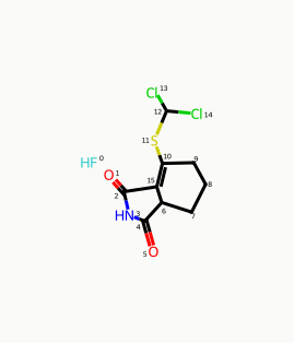 F.O=C1NC(=O)C2CCCC(SC(Cl)Cl)=C12